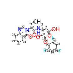 CC[C@@H](C(=O)N[C@@H](CC(=O)O)C(=O)COc1c(F)cc(F)cc1F)n1cnc2ccccc2c1=O